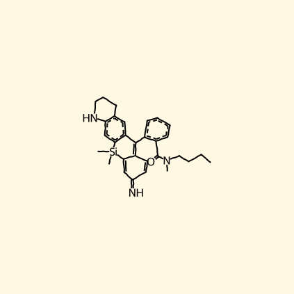 CCCCN(C)C(=O)c1ccccc1C1=C2C=CC(=N)C=C2[Si](C)(C)c2cc3c(cc21)CCCN3